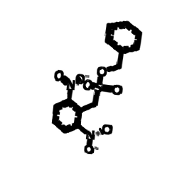 O=[N+]([O-])c1cccc([N+](=O)[O-])c1CS(=O)(=O)OCc1ccccc1